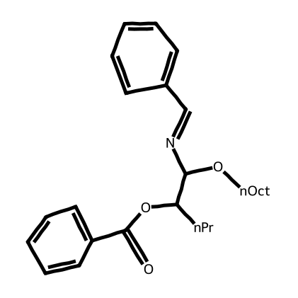 CCCCCCCCOC(/N=C/c1ccccc1)C(CCC)OC(=O)c1ccccc1